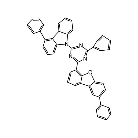 c1ccc(-c2ccc3oc4c(-c5nc(-c6ccccc6)nc(-n6c7ccccc7c7c(-c8ccccc8)cccc76)n5)cccc4c3c2)cc1